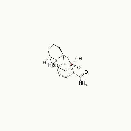 NC(=O)c1ccc2c(c1O)[C@]13CCC[C@H](C2)[C@]1(O)CCC(=O)C3